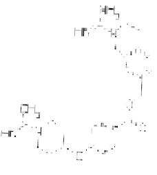 CC(=N)N1CCC(Oc2ccc(C(=O)OCc3ccc4c(c3)CN(C(=N)N)CC4)cc2)CC1